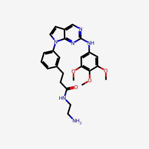 COc1cc(Nc2ncc3ccn(-c4cccc(CCC(=O)NCCN)c4)c3n2)cc(OC)c1OC